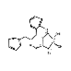 OC[C@H]1S[C@@H](Oc2ccccc2CCCc2ccccc2)[C@H](O)[C@@H](O)[C@@H]1O